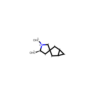 O=C[C@@H]1CC2(CC3CC3C2)CN1C=O